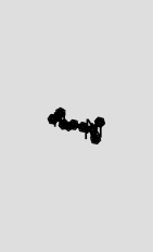 c1ccc(-c2nc(-c3ccccc3)nc(-c3ccc(-c4ccc5c(c4)Cc4ccc(-n6c7ccccc7c7ccccc76)cc4-5)cc3)n2)cc1